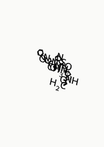 C=CC(=O)N[C@H]1CC[C@@H](NC(=O)c2sc3nccc4c3c2NC(=O)N4c2cnc(Oc3ccccc3)cc2C)C1